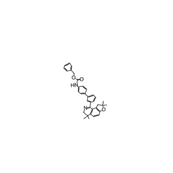 CC1(C)Cc2c(ccc3c2C(c2cccc(-c4ccc(NC(=O)OCc5ccccc5)cc4)c2)=NCC3(C)C)O1